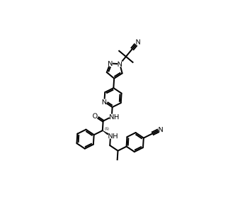 CC(CN[C@H](C(=O)Nc1ccc(-c2cnn(C(C)(C)C#N)c2)cn1)c1ccccc1)c1ccc(C#N)cc1